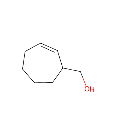 OCC1C=CCCCC1